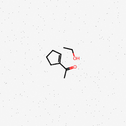 CC(=O)C1=CCCC1.CCO